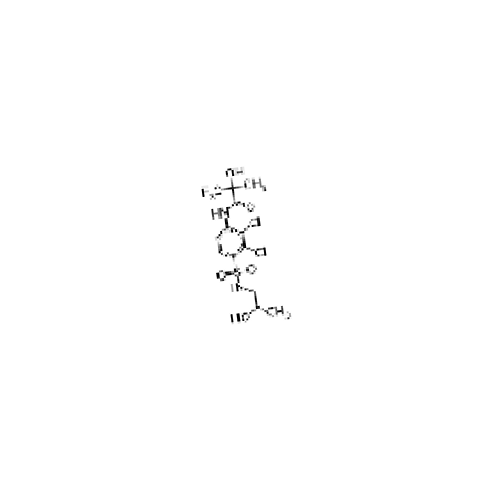 CC(O)CNS(=O)(=O)c1ccc(NC(=O)C(C)(O)C(F)(F)F)c(Cl)c1Cl